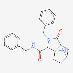 O=C(NCc1ccccc1)C1N(Cc2ccccc2)C(=O)C2CC3CCC21N3